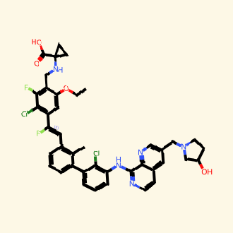 CCOc1cc(/C(F)=C/c2cccc(-c3cccc(Nc4nccc5cc(CN6CCC(O)C6)cnc45)c3Cl)c2C)c(Cl)c(F)c1CNC1(C(=O)O)CC1